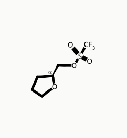 O=S(=O)(OC[C@@H]1CCCO1)C(F)(F)F